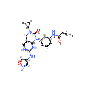 C=CC(=O)Nc1cccc(N2C(=O)N(C3CC3)Cc3cnc(Nc4cnoc4)nc32)c1